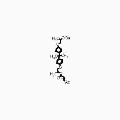 CC(=O)/C=C/C(=O)OC(C)COc1ccc(C(C)(C)c2ccc(OCC(C)OCC(C)C)cc2)cc1